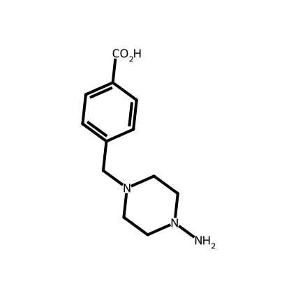 NN1CCN(Cc2ccc(C(=O)O)cc2)CC1